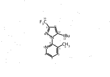 Cc1cccnc1-n1nc(C(F)(F)F)cc1C(C)(C)C